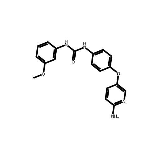 COc1cccc(NC(=O)Nc2ccc(Oc3ccc(N)nc3)cc2)c1